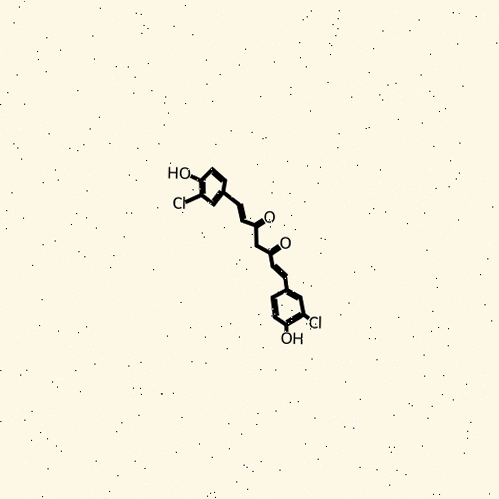 O=C(C=Cc1ccc(O)c(Cl)c1)CC(=O)C=Cc1ccc(O)c(Cl)c1